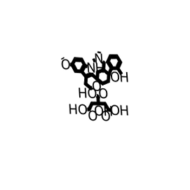 COc1ccc2[nH]c3c(c2c1)CCOC31CCC(O)(c2ccccc2C)C(CN(C)C)C1.O=C(O)CC(O)(CC(=O)O)C(=O)O